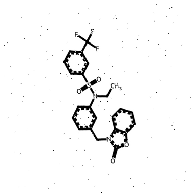 CCN(c1cccc(Cn2c(=O)oc3ccccc32)c1)S(=O)(=O)c1cccc(C(F)(F)F)c1